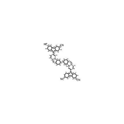 CC12C=C(n3c4ccc(C#N)cc4c4cc(C#N)ccc43)C=CC1Sc1ccc(-c3ccc4c(c3)C3C=C(n5c6ccc(C#N)cc6c6cc(C#N)ccc65)C=CC3S4)cc12